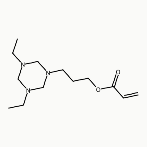 C=CC(=O)OCCCN1CN(CC)CN(CC)C1